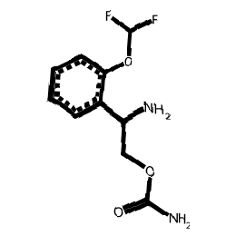 NC(=O)OCC(N)c1ccccc1OC(F)F